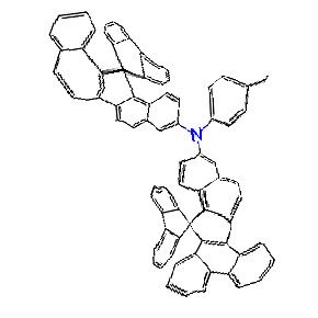 Cc1ccc(N(c2ccc3c4c(ccc3c2)-c2ccc3ccccc3c2C42c3ccccc3-c3ccccc32)c2ccc3c4c(ccc3c2)-c2c(c3ccccc3c3ccccc23)C42c3ccccc3-c3ccccc32)cc1